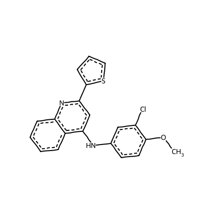 COc1ccc(Nc2cc(-c3cccs3)nc3ccccc23)cc1Cl